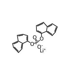 O=P([O-])(Oc1cccc2ccccc12)Oc1cccc2ccccc12.[Li+]